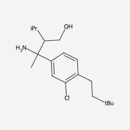 CC(C)C(CO)C(C)(N)c1ccc(CCC(C)(C)C)c(Cl)c1